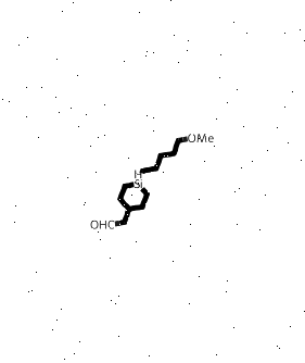 COCCCCC[SiH]1CCC(CC=O)CC1